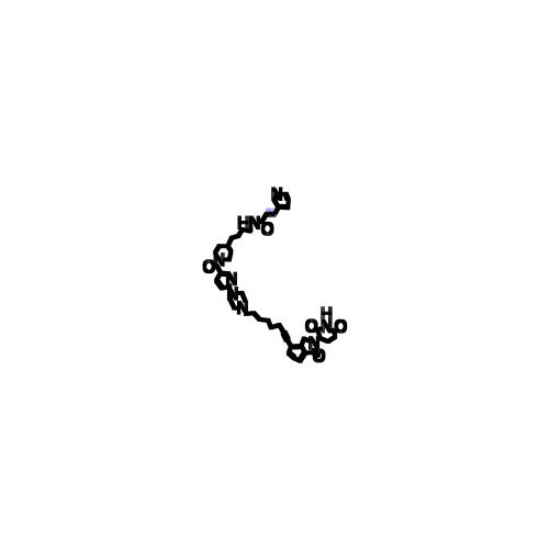 O=C(/C=C/c1cccnc1)NCCCCC1CCN(C(=O)c2ccc(N3CCN(CCCCCCC#Cc4cccc5c4CN(C4CCC(=O)NC4=O)C5=O)CC3)nc2)CC1